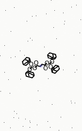 O=C(/C=C/C(=O)OC(OC12CC3CC(CC(C3)C1)C2)OC12CC3CC(CC(C3)C1)C2)OC(OC12CC3CC(CC(C3)C1)C2)OC12CC3CC(CC(C3)C1)C2